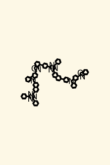 c1ccc(-c2nc(-c3ccc(-c4cccc5oc(-c6ccc7c(c6)c6ccccc6n7-c6ccc7ccc(-c8nc(-c9ccccc9)nc(-c9ccccc9)n8)cc7c6)nc45)cc3)nc(-c3ccc4ccc(-c5ccc(-n6c7ccccc7c7cc(-c8nc9ccccc9o8)ccc76)cc5)cc4c3)n2)cc1